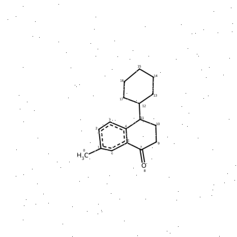 Cc1ccc2c(c1)C(=O)CCC2C1CCCCC1